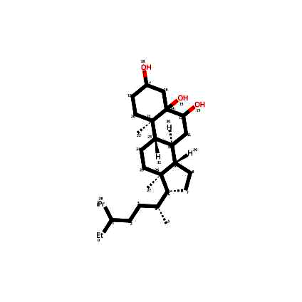 CCC(CC[C@@H](C)[C@H]1CC[C@H]2[C@@H]3CC(O)C4(O)CC(O)CC[C@]4(C)[C@H]3CC[C@]12C)C(C)C